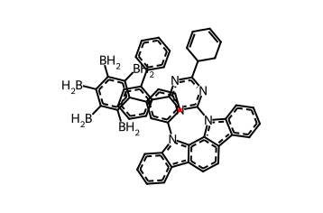 Bc1c(B)c(B)c(-c2cccc(-n3c4ccccc4c4ccc5c6ccccc6n(-c6nc(-c7ccccc7-c7ccccc7)nc(C7C=CC=CC7)n6)c5c43)c2)c(B)c1B